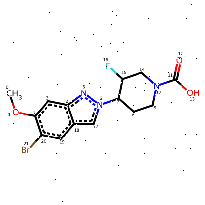 COc1cc2nn(C3CCN(C(=O)O)CC3F)cc2cc1Br